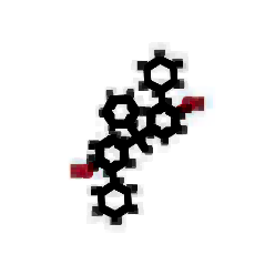 CC(c1ccccc1)(c1ccc(O)c(C2CCCCC2)c1)c1ccc(O)c(C2CCCCC2)c1